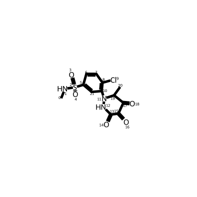 CNS(=O)(=O)c1ccc(Cl)c(N2NC(=O)C(=O)C(=O)C2C)c1